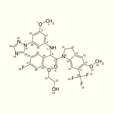 COc1cc(NC(C(=O)N2CCc3cc(OC)c(C(F)(F)F)cc32)c2ccc(F)cc2OCCO)cc(-n2cncn2)c1